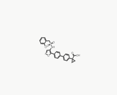 O=C(O)C1(c2ccc(-c3ccc(-c4oncc4NS(=O)(=O)Cc4ccccc4Cl)cc3)cc2)CC1